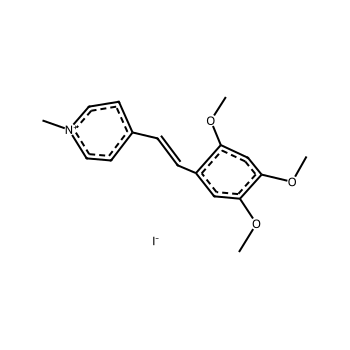 COc1cc(OC)c(OC)cc1C=Cc1cc[n+](C)cc1.[I-]